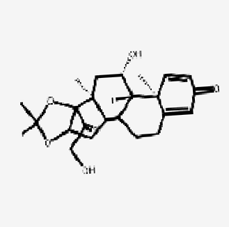 CC1(C)OC2CC3C4CCC5=CC(=O)C=C[C@]5(C)[C@@]4(F)[C@@H](O)C[C@]3(C)C2(C(=O)CO)O1